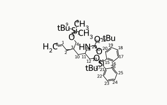 C=CC[C@@H](CO[Si](C)(C)C(C)(C)C)CC(CO[Si](c1ccccc1)(c1ccccc1)C(C)(C)C)NC(=O)OC(C)(C)C